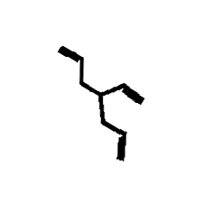 C=CCC(C=C)CC=C